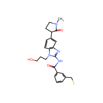 CN1CCC(c2ccc3c(c2)nc(NC(=O)c2cccc(CF)c2)n3CCCO)C1=O